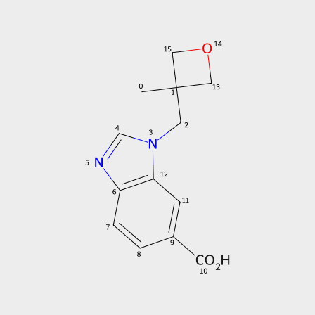 CC1(Cn2cnc3ccc(C(=O)O)cc32)COC1